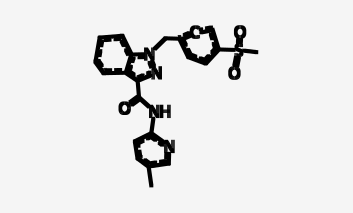 Cc1ccc(NC(=O)c2nn(Cc3ccc(S(C)(=O)=O)cc3)c3ccccc23)nc1